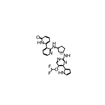 O=c1cccc(-c2cccnc2N[C@H]2CC[C@H](Nc3ncc(OC(F)F)c(-c4ccc[nH]4)n3)C2)[nH]1